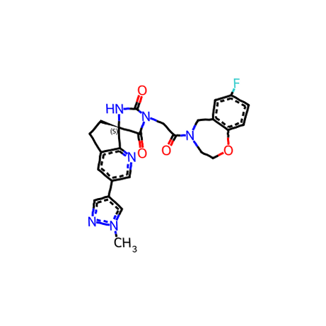 Cn1cc(-c2cnc3c(c2)CC[C@]32NC(=O)N(CC(=O)N3CCOc4ccc(F)cc4C3)C2=O)cn1